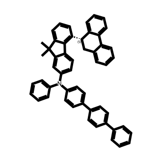 CC1(C)c2cc(N(c3ccccc3)c3ccc(-c4ccc(-c5ccccc5)cc4)cc3)ccc2-c2c([C@H]3Cc4ccccc4-c4ccccc43)cccc21